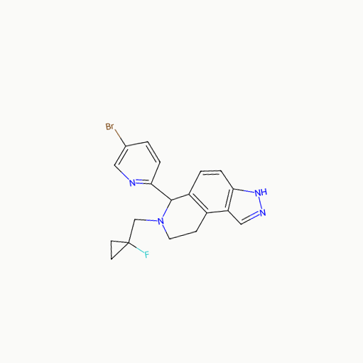 FC1(CN2CCc3c(ccc4[nH]ncc34)C2c2ccc(Br)cn2)CC1